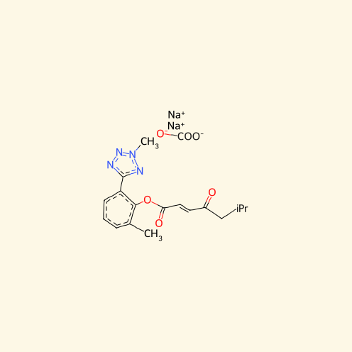 Cc1cccc(-c2nnn(C)n2)c1OC(=O)C=CC(=O)CC(C)C.O=C([O-])[O-].[Na+].[Na+]